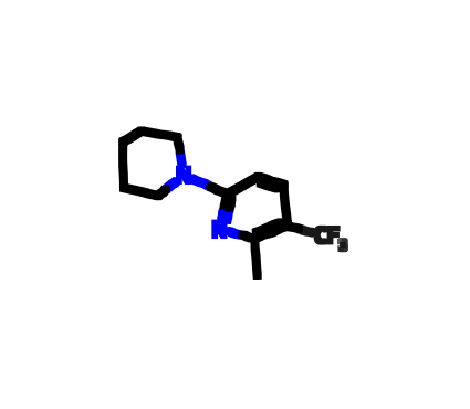 Cc1nc(N2CCCCC2)ccc1C(F)(F)F